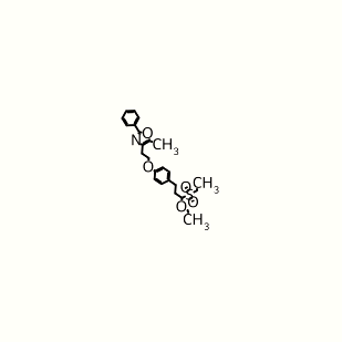 CCOC(CCc1ccc(OCCc2nc(-c3ccccc3)oc2C)cc1)S(=O)(=O)CC